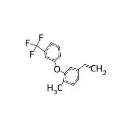 C=Cc1ccc(C)c(Oc2cccc(C(F)(F)F)c2)c1